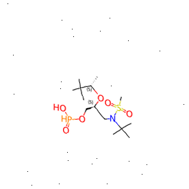 C[C@H](O[C@H](CO[PH](=O)O)CN(C(C)(C)C)S(C)(=O)=O)C(C)(C)C